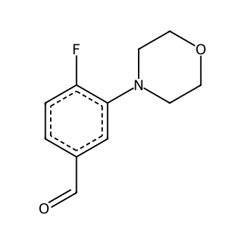 O=Cc1ccc(F)c(N2CCOCC2)c1